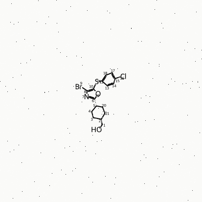 OC[C@H]1CC[C@H](c2nc(Br)c(Sc3ccc(Cl)cc3)o2)CC1